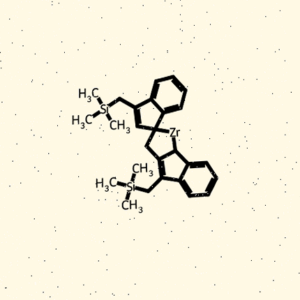 C[Si](C)(C)CC1=C[C]2(CC3=C(C[Si](C)(C)C)c4ccccc4[CH]3[Zr]2)c2ccccc21